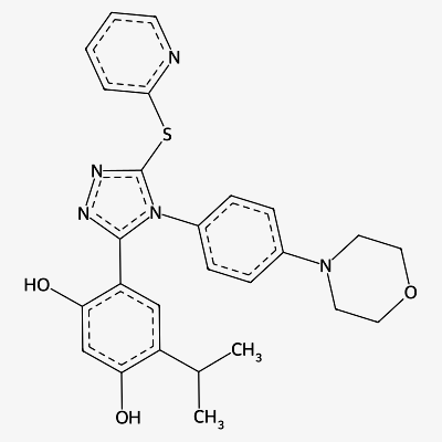 CC(C)c1cc(-c2nnc(Sc3ccccn3)n2-c2ccc(N3CCOCC3)cc2)c(O)cc1O